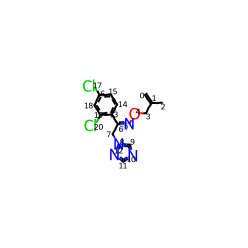 C=C(C)CO/N=C(/Cn1cncn1)c1ccc(Cl)cc1Cl